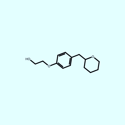 OCCOc1ccc(CC2CCCCO2)cc1